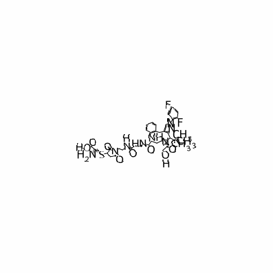 CC(C)(C)C(c1nn(-c2cc(F)ccc2F)cc1Cc1ccccc1)N(CCC(N)C(=O)NCCC(=O)NCCN1C(=O)CC(SC[C@H](N)C(=O)O)C1=O)C(=O)CO